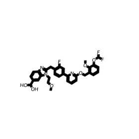 COCCn1c(Cc2ccc(-c3cccc(OCc4cccc(OC(F)F)c4OC)n3)cc2F)nc2ccc(C(O)O)cc21